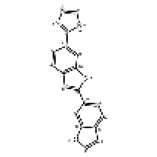 c1nnc(-c2ccc3cc(-c4ccc5ccoc5c4)sc3c2)[nH]1